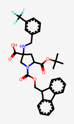 CC(C)(C)OC(=O)C1CC(NCc2cccc(C(F)(F)F)c2)(C(=O)O)CN1C(=O)OCC1c2ccccc2-c2ccccc21